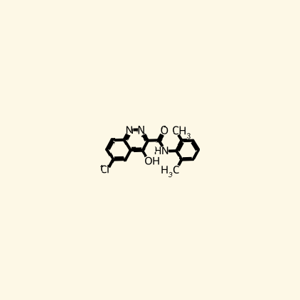 Cc1cccc(C)c1NC(=O)c1nnc2ccc(Cl)cc2c1O